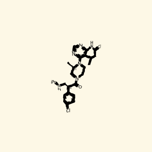 CC(C)NC[C@@H](C(=O)N1CCN(c2ncnc3c2C(C)CC(=O)N3)[C@H](C)C1)c1ccc(Cl)cc1